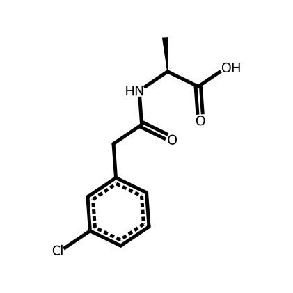 C[C@H](NC(=O)Cc1cccc(Cl)c1)C(=O)O